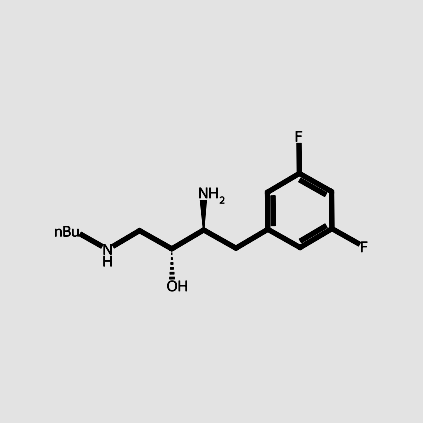 CCCCNC[C@@H](O)[C@@H](N)Cc1cc(F)cc(F)c1